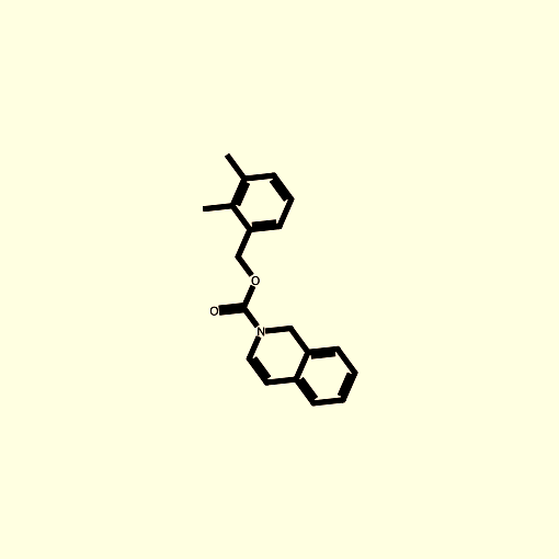 Cc1cccc(COC(=O)N2C=Cc3ccccc3C2)c1C